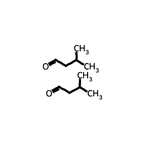 CC(C)CC=O.CC(C)CC=O